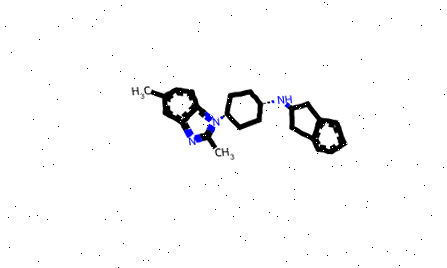 Cc1ccc2c(c1)nc(C)n2[C@H]1CC[C@@H](NC2Cc3ccccc3C2)CC1